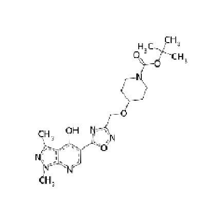 Cc1nn(C)c2ncc(-c3nc(COC4CCN(C(=O)OC(C)(C)C)CC4)no3)c(O)c12